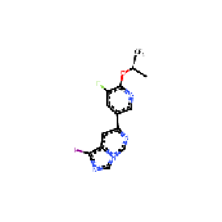 C[C@@H](Oc1ncc(-c2cc3c(I)ncn3cn2)cc1F)C(F)(F)F